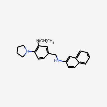 CN(O)c1cc(CNc2ccc3ccccc3c2)ccc1N1CCCC1